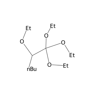 CCCCC(OCC)C(OCC)(OCC)OCC